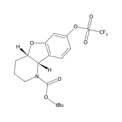 CC(C)(C)OC(=O)N1CCC[C@@H]2Oc3cc(OS(=O)(=O)C(F)(F)F)ccc3[C@@H]21